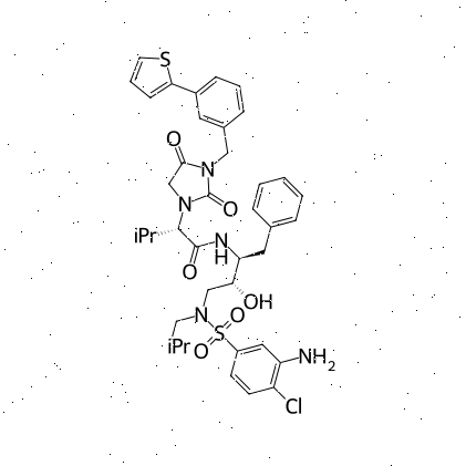 CC(C)CN(C[C@@H](O)[C@H](Cc1ccccc1)NC(=O)[C@H](C(C)C)N1CC(=O)N(Cc2cccc(-c3cccs3)c2)C1=O)S(=O)(=O)c1ccc(Cl)c(N)c1